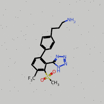 CS(=O)(=O)c1c(C(F)(F)F)ccc(-c2ccc(CCCN)cc2)c1-c1nnn[nH]1